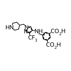 Cc1cc(C(=O)O)cc(C(=O)O)c1.Nc1cn(CC2CCNCC2)nc1C(F)(F)F